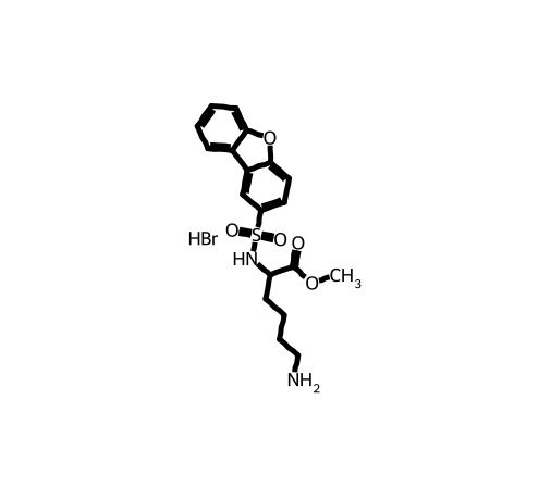 Br.COC(=O)C(CCCCN)NS(=O)(=O)c1ccc2oc3ccccc3c2c1